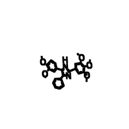 COc1ccc(-c2[nH]c(-c3cc(OC)c(OC)c(OC)c3)nc2-c2ccccc2)cc1OC